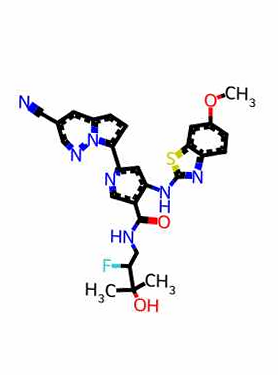 COc1ccc2nc(Nc3cc(-c4ccc5cc(C#N)cnn45)ncc3C(=O)NCC(F)C(C)(C)O)sc2c1